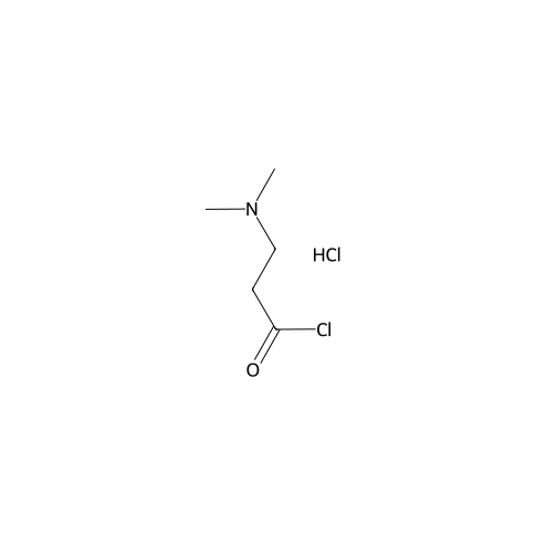 CN(C)CCC(=O)Cl.Cl